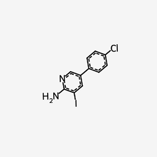 Nc1ncc(-c2ccc(Cl)cc2)cc1I